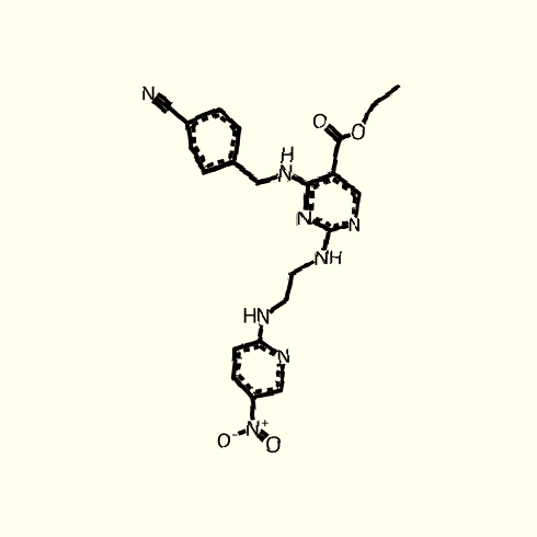 CCOC(=O)c1cnc(NCCNc2ccc([N+](=O)[O-])cn2)nc1NCc1ccc(C#N)cc1